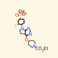 CCOC(=O)N1CCC(Oc2ncnc3c2CCN3c2ccc(S(C)(=O)=O)cc2F)CC1